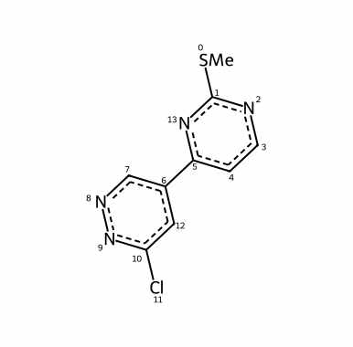 CSc1nccc(-c2cnnc(Cl)c2)n1